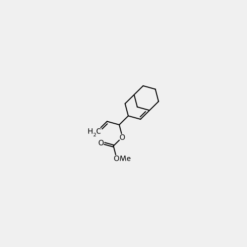 C=CC(OC(=O)OC)C1C=C2CCCC(C2)C1